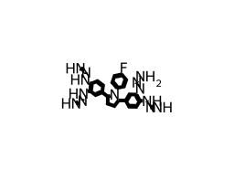 N=NNc1ccc(C2CCC(c3ccc(NN=N)c(NN=N)c3)N2c2ccc(F)cc2)cc1N=NN